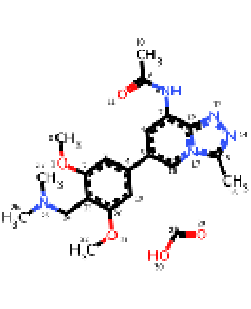 COc1cc(-c2cc(NC(C)=O)c3nnc(C)n3c2)cc(OC)c1CN(C)C.O=CO